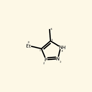 CCc1pn[nH]c1C